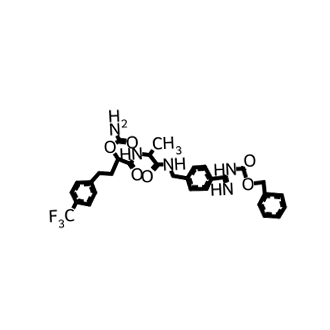 CC(NC(=O)C(CCc1ccc(C(F)(F)F)cc1)OC(N)=O)C(=O)NCc1ccc(C(=N)NC(=O)OCc2ccccc2)cc1